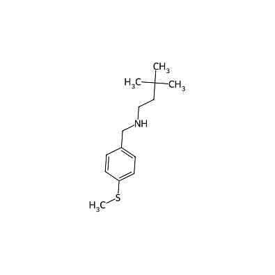 CSc1ccc(CNCCC(C)(C)C)cc1